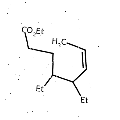 C/C=C\C(CC)C(CC)CCC(=O)OCC